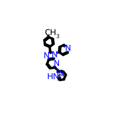 Cc1ccc(-c2nc3ccc(N4CC5CCC4CN5)nc3n2-c2ccncc2)cc1